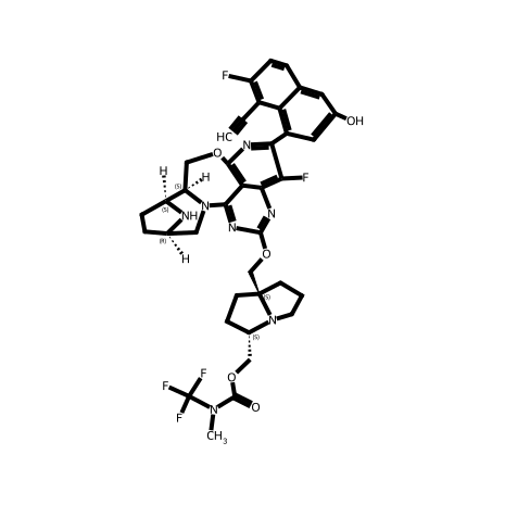 C#Cc1c(F)ccc2cc(O)cc(-c3nc4c5c(nc(OC[C@@]67CCCN6[C@H](COC(=O)N(C)C(F)(F)F)CC7)nc5c3F)N3C[C@H]5CC[C@H](N5)[C@H]3CO4)c12